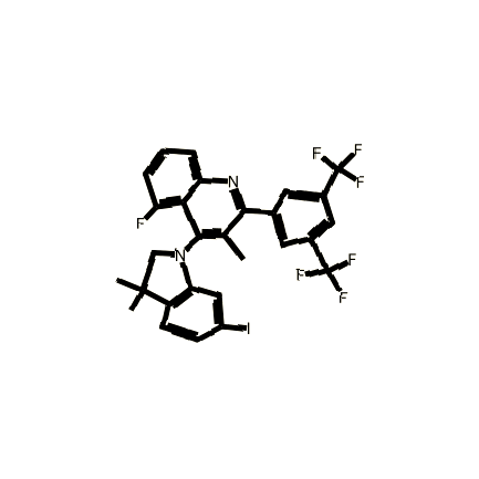 Cc1c(-c2cc(C(F)(F)F)cc(C(F)(F)F)c2)nc2cccc(F)c2c1N1CC(C)(C)c2ccc(I)cc21